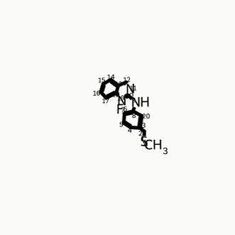 CSCc1ccc(F)c(Nc2ncc3ccccc3n2)c1